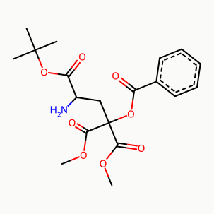 COC(=O)C(CC(N)C(=O)OC(C)(C)C)(OC(=O)c1ccccc1)C(=O)OC